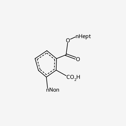 CCCCCCCCCc1cccc(C(=O)OCCCCCCC)c1C(=O)O